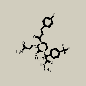 CNC(=O)[C@@](C)(c1ccc(C(F)(F)F)cc1)N1CCN(C(=O)[CH]Cc2ccc(F)cc2)[C@@H](CCC(N)=O)C1=O